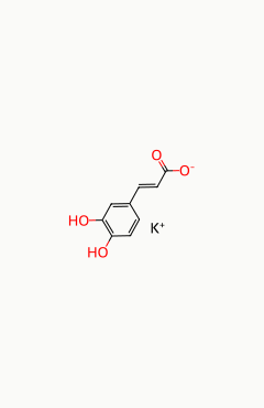 O=C([O-])/C=C/c1ccc(O)c(O)c1.[K+]